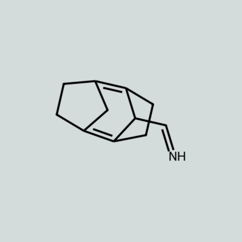 N=CC1C2=C3CCC(=C1CC2)C3